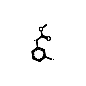 [CH2]c1cccc([CH]C(=O)OC)c1